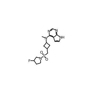 CN(c1ncnc2[nH]ccc12)C1CC(CS(=O)(=O)N2CCC(F)C2)C1